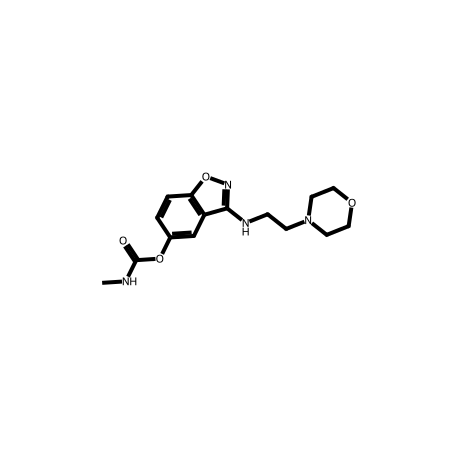 CNC(=O)Oc1ccc2onc(NCCN3CCOCC3)c2c1